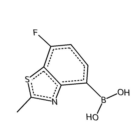 Cc1nc2c(B(O)O)ccc(F)c2s1